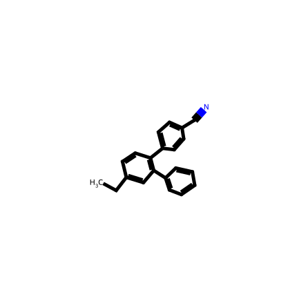 CCc1ccc(-c2ccc(C#N)cc2)c(-c2ccccc2)c1